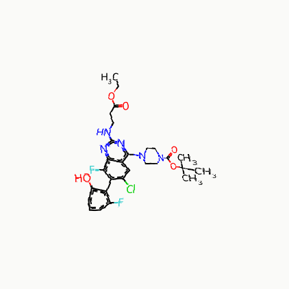 CCOC(=O)CCNc1nc(N2CCN(C(=O)OC(C)(C)C)CC2)c2cc(Cl)c(-c3c(O)cccc3F)c(F)c2n1